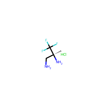 C[C@](N)(CN)C(F)(F)F.Cl